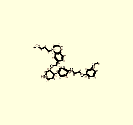 COCCCN1CCOc2ccc(CO[C@H]3CNCC[C@@H]3c3ccc(OCCOc4cccc(OC)c4)cc3)cc21